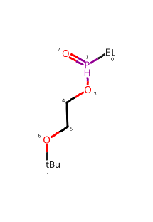 CC[PH](=O)OCCOC(C)(C)C